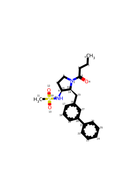 CCCC(=O)N1CC[C@H](NS(C)(=O)=O)[C@@H]1Cc1cccc(-c2ccccc2)c1